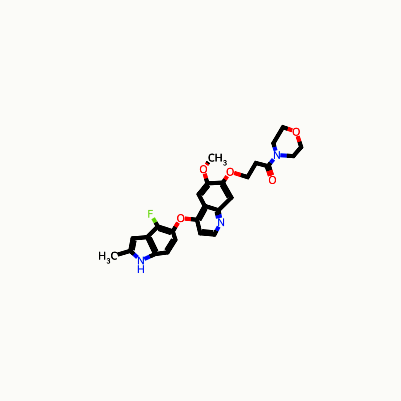 COc1cc2c(Oc3ccc4[nH]c(C)cc4c3F)ccnc2cc1OCCC(=O)N1CCOCC1